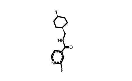 C[C@H]1CC[C@@H](CNC(=O)c2ccnc(F)c2)CC1